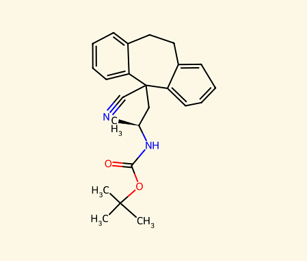 C[C@@H](CC1(C#N)c2ccccc2CCc2ccccc21)NC(=O)OC(C)(C)C